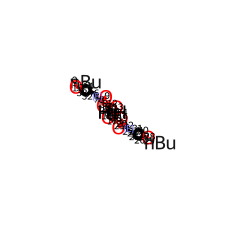 CCCCOc1ccc(/C=C/C(=O)O[C@H]2CO[C@H]3[C@@H]2OC[C@H]3OC(=O)/C=C/c2ccc(OCCCC)cc2)cc1